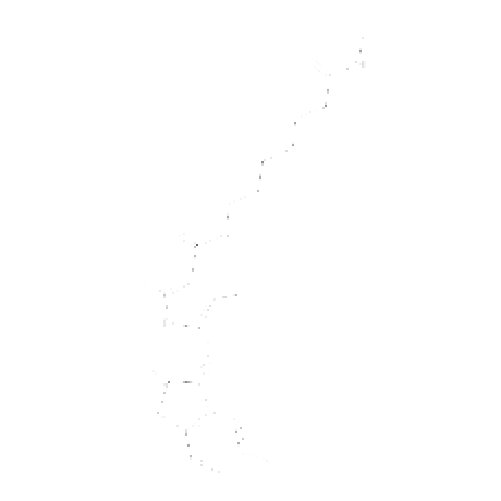 CC(=O)ONC(=O)CCCCCCNC(=O)c1c(C)[nH]c(/C=C2\C(=O)Nc3ccc(F)cc32)c1C